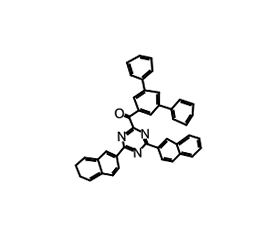 O=C(c1cc(-c2ccccc2)cc(-c2ccccc2)c1)c1nc(-c2ccc3c(c2)=CCCC=3)nc(-c2ccc3ccccc3c2)n1